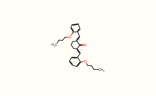 CCCCOc1ccccc1/C=C1\CCC/C(=C\c2ccccc2OCCCC)C1=O